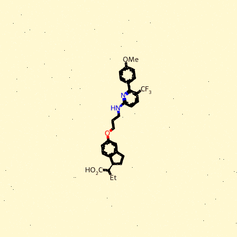 CCC(C(=O)O)[C@@H]1CCc2cc(OCCCNc3ccc(C(F)(F)F)c(-c4ccc(OC)cc4)n3)ccc21